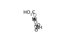 O=C1CC[C@H](c2ccc3c(cnn3CC3CCC(C(=O)O)CC3)c2)C(=O)N1